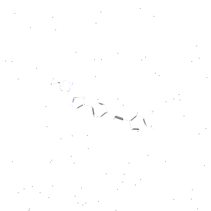 Nc1ccc(C#Cc2ccc(-c3cnc([C@@H]4CC5(CC5)CN4)[nH]3)cc2)cc1N